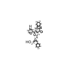 O=C(N[C@@H](CCCCN(Cc1ccccc1)C(=O)O)C(=O)c1nc2ccccc2s1)C1CNCCO1